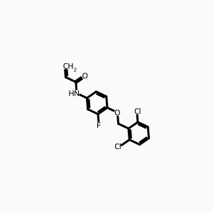 C=CC(=O)Nc1ccc(OCc2c(Cl)cccc2Cl)c(F)c1